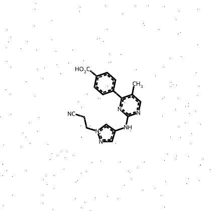 Cc1cnc(Nc2cnn(CCC#N)c2)nc1-c1ccc(C(=O)O)cc1